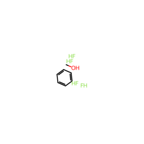 CO.F.F.F.F.c1ccccc1